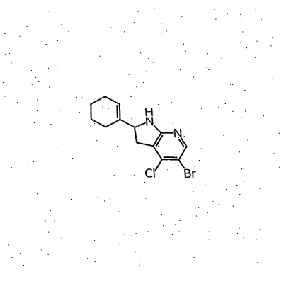 Clc1c(Br)cnc2c1CC(C1=CCCCC1)N2